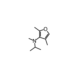 Cc1coc(C)c1N(C)C(C)C